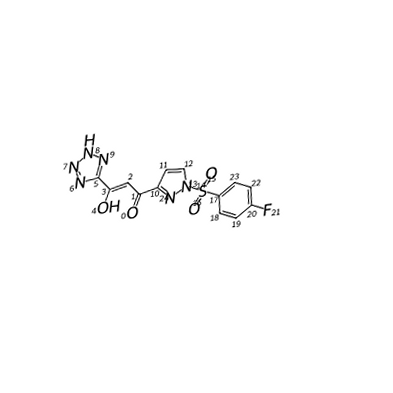 O=C(C=C(O)c1nn[nH]n1)c1ccn(S(=O)(=O)c2ccc(F)cc2)n1